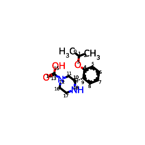 CC(C)Oc1ccccc1[C@H]1CN(C(=O)O)CCN1